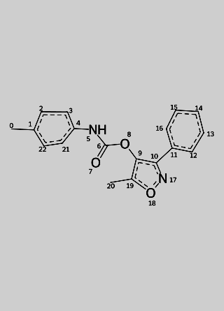 Cc1ccc(NC(=O)Oc2c(-c3ccccc3)noc2C)cc1